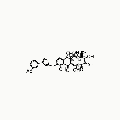 CC(=O)C1=C(O)C(C(C)C)[C@@]2(C)[C@H](O)[C@]3(C)C(=C(O)[C@@]2(O)C1=O)C(=O)c1c(ccc(CC2=CC(c4cccc(C(C)=O)c4)=CC2)c1O)[C@H]3C